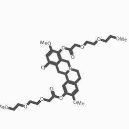 COCCOCCOCC(=O)Oc1cc2c(cc1OC)CCN1Cc3c(c(Cl)cc(OC)c3OC(=O)COCCOCCOC)CC21